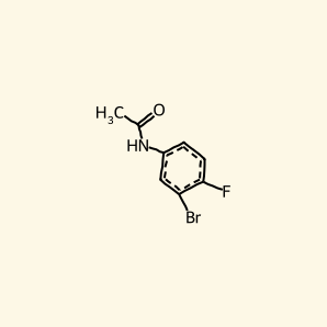 CC(=O)Nc1ccc(F)c(Br)c1